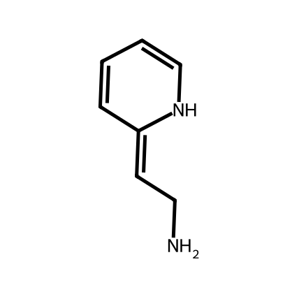 NC/C=C1/C=CC=CN1